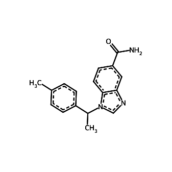 Cc1ccc(C(C)n2cnc3cc(C(N)=O)ccc32)cc1